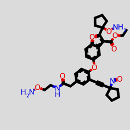 CCOC(=O)c1c(C2(ON)CCCC2)oc2ccc(Oc3ccc(CC(=O)NCCON)cc3C#CC3(N=O)CCCC3)cc12